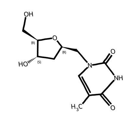 Cc1cn(C[C@H]2C[C@H](O)[C@@H](CO)O2)c(=O)[nH]c1=O